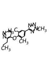 CCCc1nnccc1Oc1c(C)cc(-c2nnn(C)n2)cc1C